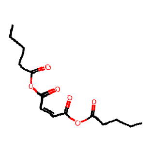 CCCCC(=O)OC(=O)/C=C\C(=O)OC(=O)CCCC